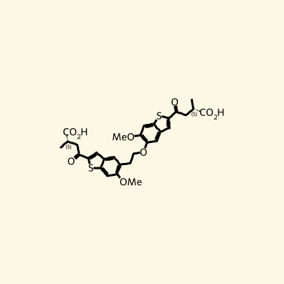 COc1cc2sc(C(=O)C[C@H](C)C(=O)O)cc2cc1CCOc1cc2cc(C(=O)C[C@H](C)C(=O)O)sc2cc1OC